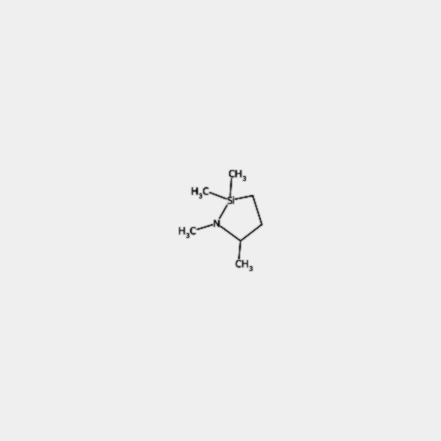 CC1CC[Si](C)(C)N1C